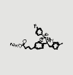 COC(=O)CCCc1ccc(C(Cc2ccc(C)cc2)NS(=O)(=O)c2ccc(F)cc2)cc1